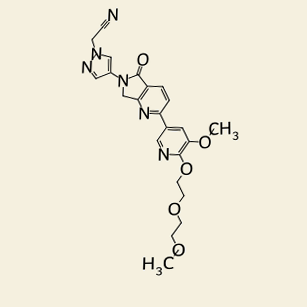 COCCOCCOc1ncc(-c2ccc3c(n2)CN(c2cnn(CC#N)c2)C3=O)cc1OC